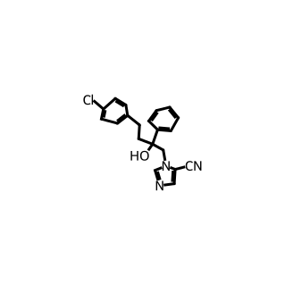 N#Cc1cncn1CC(O)(CCc1ccc(Cl)cc1)c1ccccc1